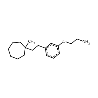 CC1(CCc2cccc(OCCN)c2)CCCCCC1